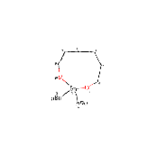 CCC[CH2][Sn]1([CH2]CCC)[O]CCCCCC[O]1